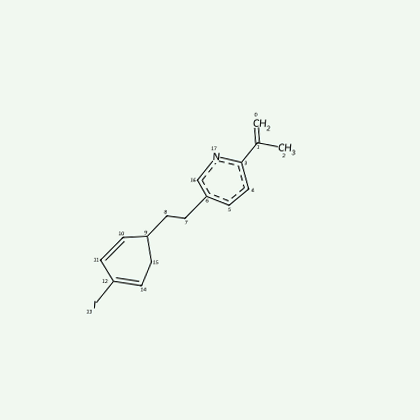 C=C(C)c1ccc(CCC2C=CC(I)=CC2)cn1